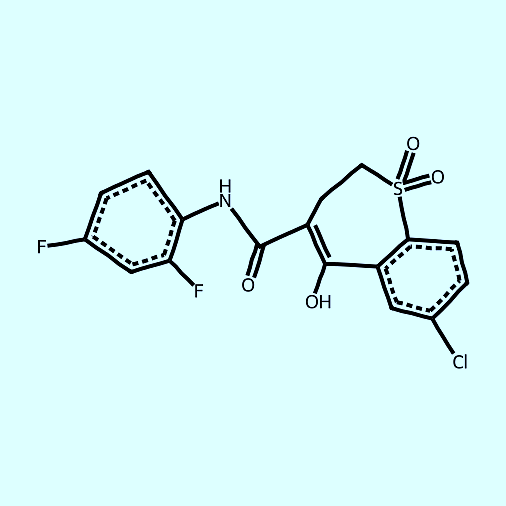 O=C(Nc1ccc(F)cc1F)C1=C(O)c2cc(Cl)ccc2S(=O)(=O)CC1